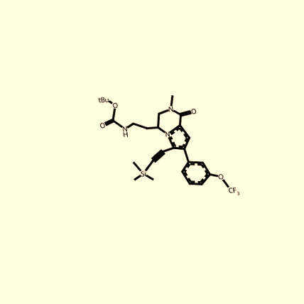 CN1CC(CCNC(=O)OC(C)(C)C)n2c(cc(-c3cccc(OC(F)(F)F)c3)c2C#C[Si](C)(C)C)C1=O